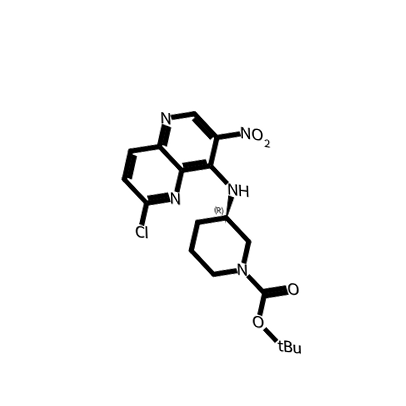 CC(C)(C)OC(=O)N1CCC[C@@H](Nc2c([N+](=O)[O-])cnc3ccc(Cl)nc23)C1